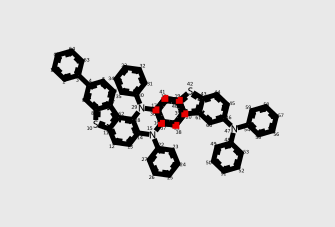 c1ccc(-c2ccc3c(c2)sc2ccc(N(c4ccccc4)c4ccccc4)c(N(c4ccccc4)c4ccc5c(c4)sc4ccc(N(c6ccccc6)c6ccccc6)cc45)c23)cc1